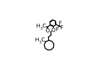 CC(=O)c1cccc(C(F)(F)F)c1OCCCC1CCCCCCCC1C